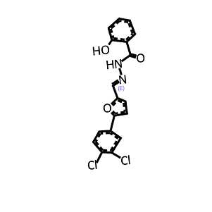 O=C(N/N=C/c1ccc(-c2ccc(Cl)c(Cl)c2)o1)c1ccccc1O